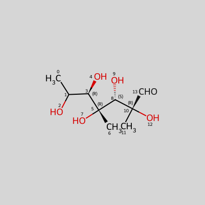 CC(O)[C@@H](O)[C@@](C)(O)[C@H](O)[C@@](C)(O)C=O